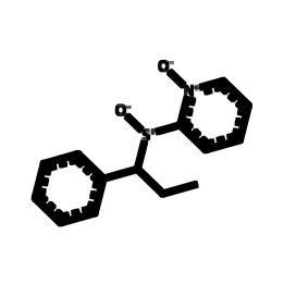 CCC(c1ccccc1)[S+]([O-])c1cccc[n+]1[O-]